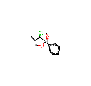 CCC(Cl)[Si](OC)(OC)c1ccccc1